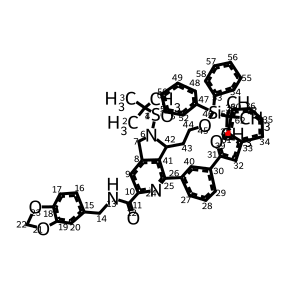 CC(C)(C)[S+]([O-])N1Cc2cc(C(=O)NCc3ccc4c(c3)OCO4)nc(-c3cccc(-c4cc5ccccc5o4)c3)c2C1CCO[Si](c1ccccc1)(c1ccccc1)C(C)(C)C